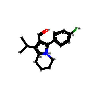 CC(C)c1c(C=O)c(-c2ccc(F)cc2)n2c1CCCC2